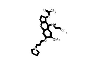 COc1cc2c(NCCC(F)(F)F)c3c(nc2cc1OCCCN1CCCC1)CCC3OC(=O)C(F)(F)F